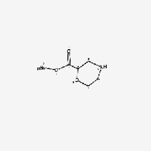 CCCCOC(=O)[C]1CNCCO1